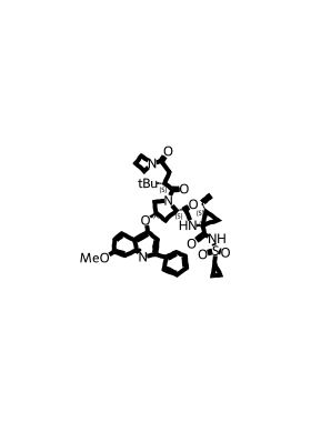 C=C[C@@H]1C[C@]1(NC(=O)[C@@H]1C[C@@H](Oc2cc(-c3ccccc3)nc3cc(OC)ccc23)CN1C(=O)[C@@H](CC(=O)N1CCC1)C(C)(C)C)C(=O)NS(=O)(=O)C1CC1